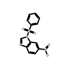 O=[N+]([O-])c1ccc2ncn(S(=O)(=O)c3ccccc3)c2c1